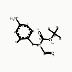 Cc1cc(N)ccc1CN(C=O)C(=O)OC(C)(C)C